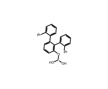 CC(C)c1ccccc1-c1cccc(OP(O)O)c1-c1ccccc1C(C)C